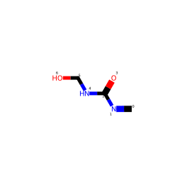 C=NC(=O)NCO